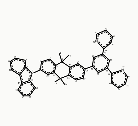 CC1(C)c2ccc(-n3c4ccccc4c4ccccc43)cc2C(C)(C)c2ccc(-c3cc(-c4ccccn4)cc(-c4ccccn4)c3)cc21